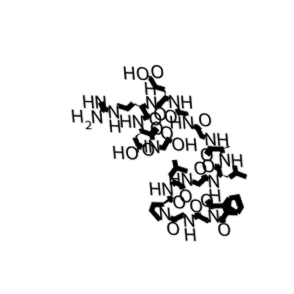 CC(C)C[C@H](NC(=O)CNC(=O)[C@H](CC(C)C)NC(=O)[C@@H]1CCCN1C(=O)CNC(=O)CN1C(=O)C2C3C=CC(C3)C2C1=O)C(=O)N[C@@H](C)C(=O)NCC(=O)NCC(=O)N[C@@H](CCC(=O)O)C(=O)N[C@@H](CCCNC(=N)N)C(=O)N[C@@H](CC(=O)O)C(=O)NCC(=O)O